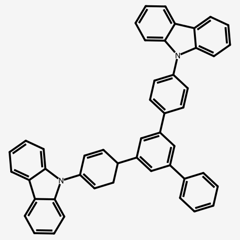 C1=CC(c2cc(-c3ccccc3)cc(-c3ccc(-n4c5ccccc5c5ccccc54)cc3)c2)CC=C1n1c2ccccc2c2ccccc21